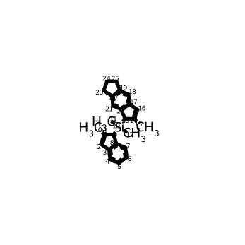 CC1=Cc2ccccc2C1[Si](C)(C)C1C(C)=Cc2cc3c(cc21)CCC3